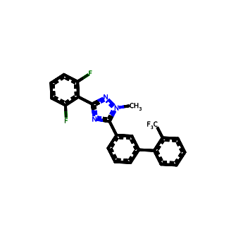 Cn1nc(-c2c(F)cccc2F)nc1-c1cccc(-c2ccccc2C(F)(F)F)c1